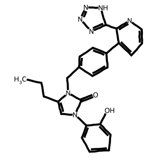 CCCc1cn(-c2ccccc2O)c(=O)n1Cc1ccc(-c2cccnc2-c2nnn[nH]2)cc1